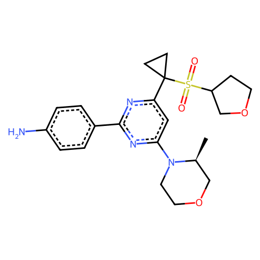 C[C@H]1COCCN1c1cc(C2(S(=O)(=O)C3CCOC3)CC2)nc(-c2ccc(N)cc2)n1